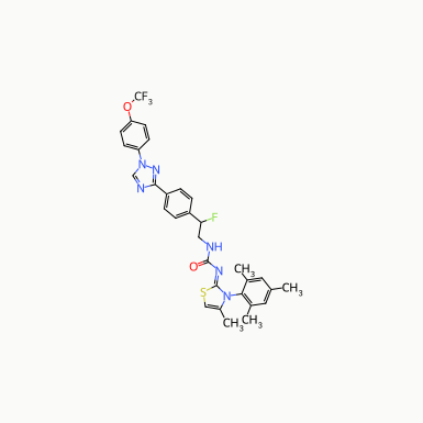 Cc1cc(C)c(-n2c(C)cs/c2=N\C(=O)NCC(F)c2ccc(-c3ncn(-c4ccc(OC(F)(F)F)cc4)n3)cc2)c(C)c1